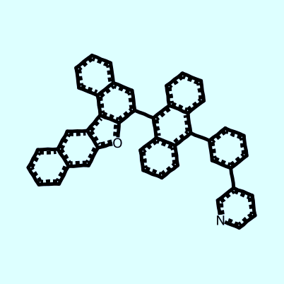 c1cncc(-c2cccc(-c3c4ccccc4c(-c4cc5ccccc5c5c4oc4cc6ccccc6cc45)c4ccccc34)c2)c1